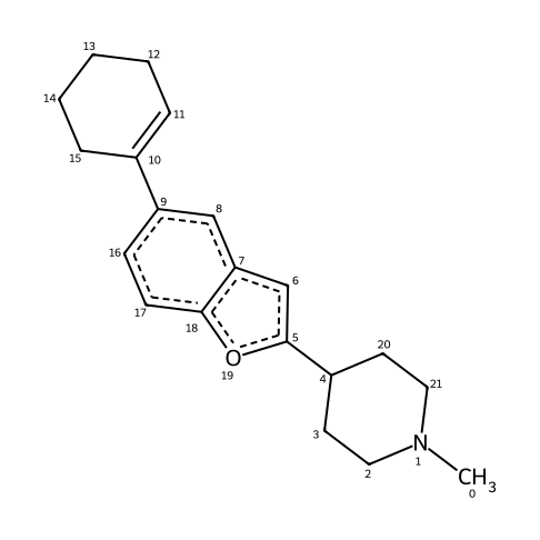 CN1CCC(c2cc3cc(C4=CCCCC4)ccc3o2)CC1